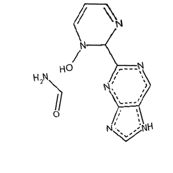 NC=O.ON1C=CC=NC1c1ncc2[nH]cnc2n1